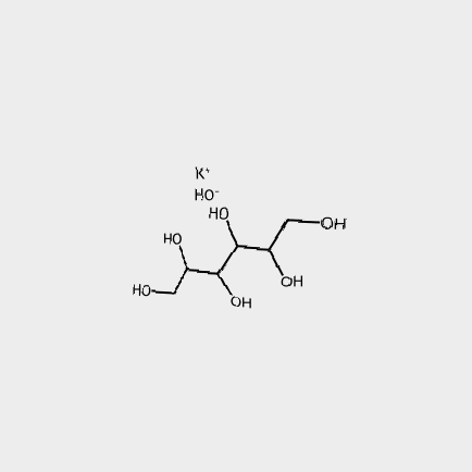 OCC(O)C(O)C(O)C(O)CO.[K+].[OH-]